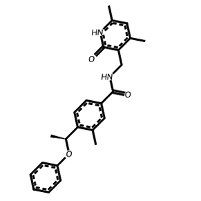 Cc1cc(C)c(CNC(=O)c2ccc([C@H](C)Oc3ccccc3)c(C)c2)c(=O)[nH]1